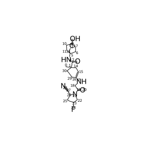 CC1(C(=O)NC23CCC(O)(CC2)CC3)CC=C(NCC(=O)N2C[C@@H](F)C[C@H]2C#N)CC1